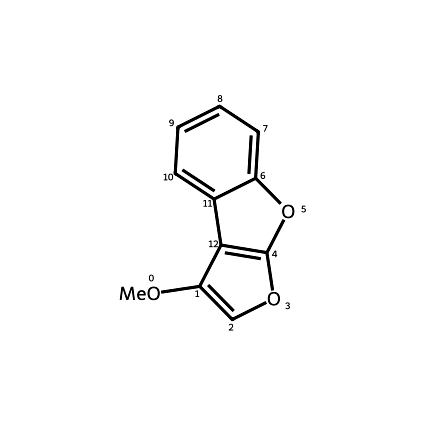 COc1coc2oc3ccccc3c12